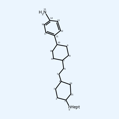 CCCCCCCC1CCC(CCC2CCC(c3ccc(N)cc3)CC2)CC1